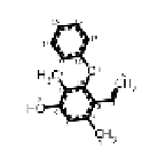 C=Cc1c(C)cc(O)c(C)c1Oc1ccccc1